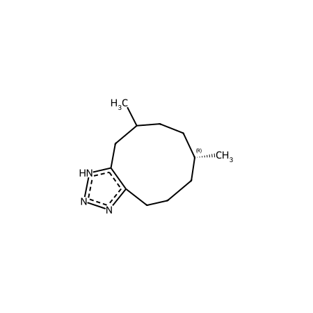 CC1CC[C@H](C)CCCc2nn[nH]c2C1